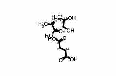 C=C(C)C(=O)O.CC(O)CO.O=C(O)CCC(=O)O